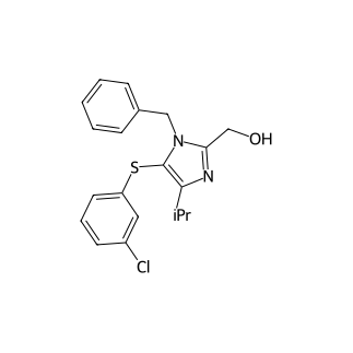 CC(C)c1nc(CO)n(Cc2ccccc2)c1Sc1cccc(Cl)c1